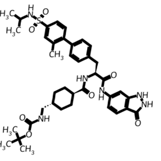 Cc1cc(S(=O)(=O)NC(C)C)ccc1-c1ccc(C[C@H](NC(=O)[C@H]2CC[C@H](CNC(=O)OC(C)(C)C)CC2)C(=O)Nc2ccc3c(=O)[nH][nH]c3c2)cc1